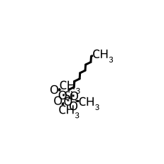 CCCCCCCCCC[Si](OC(C)=O)(OC(C)=O)OC(C)=O